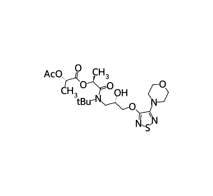 CC(=O)O[C@@H](C)C(=O)O[C@@H](C)C(=O)N(C[C@H](O)COc1nsnc1N1CCOCC1)C(C)(C)C